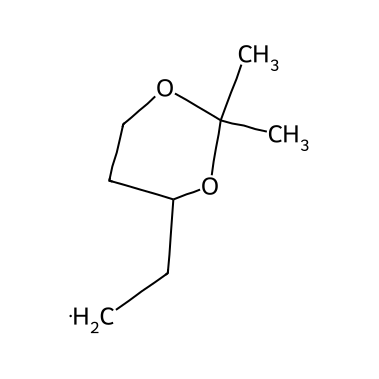 [CH2]CC1CCOC(C)(C)O1